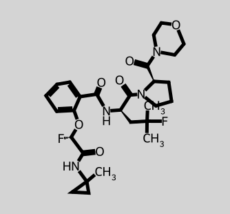 CC(C)(F)C[C@@H](NC(=O)c1ccccc1O[C@@H](F)C(=O)NC1(C)CC1)C(=O)N1CCC[C@@H]1C(=O)N1CCOCC1